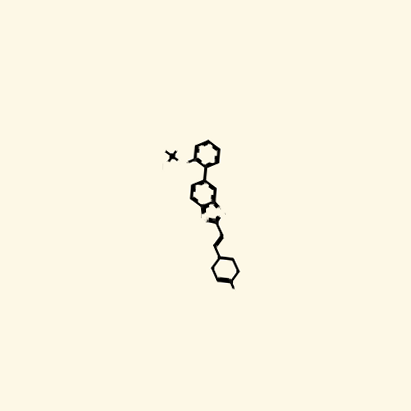 FC1=CCC(/C=C/c2nc3cc(-c4ccccc4OC(F)(F)F)ccc3[nH]2)CC1